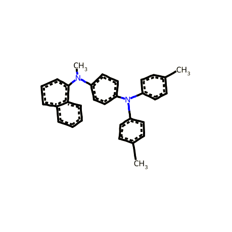 Cc1ccc(N(c2ccc(C)cc2)c2ccc(N(C)c3cccc4ccccc34)cc2)cc1